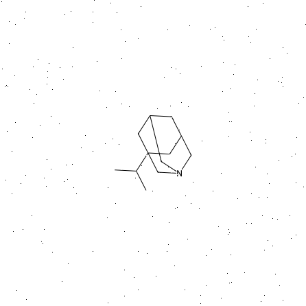 CC(C)C12CC3CC(CN(C3)C1)C2